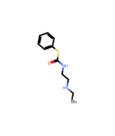 CC(C)(C)CNCCNC(=O)Sc1ccccc1